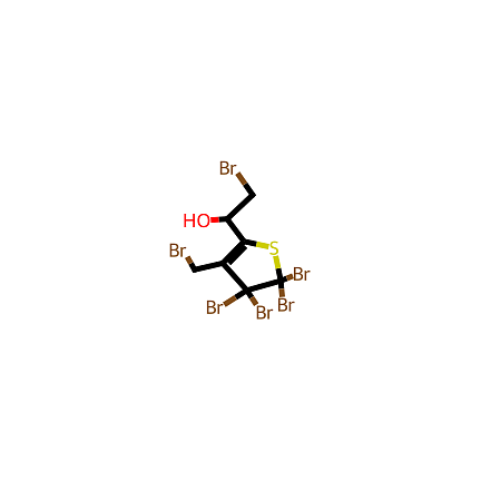 OC(CBr)C1=C(CBr)C(Br)(Br)C(Br)(Br)S1